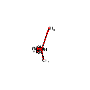 CC#CC#CC#CC#CC#CC#CC#CC#CC#CC#CC#CC#CC(=O)N[C@@H](CO[C@H]1OC(COP(=O)(O)O)[C@H](O)[C@H](O)C1O)[C@H](O)[C@H](O)CCCCCCCCCCCCCC